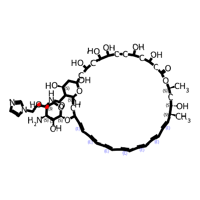 C[C@H]1C[C@H](O)[C@@H](C)/C=C/C=C/C=C/C=C/C=C/C=C/C=C/C(O[C@@H]2OC[C@@H](O)[C@H](N)[C@@H]2O)C[C@@H]2OC(O)(CC(O)CC(O)C(O)CCC(O)CC(O)CC(=O)O1)C[C@H](O)C2C(=O)NCCCn1ccnc1